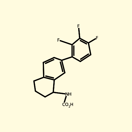 O=C(O)NC1CCCc2ccc(-c3ccc(F)c(F)c3F)cc21